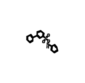 O=S(=O)(ONc1ccccc1)c1cccc(-c2ccccc2)c1